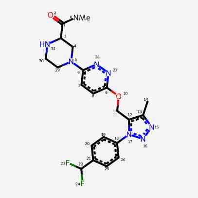 CNC(=O)C1CN(c2ccc(OCc3c(C)nnn3-c3ccc(C(F)F)cc3)nn2)CCN1